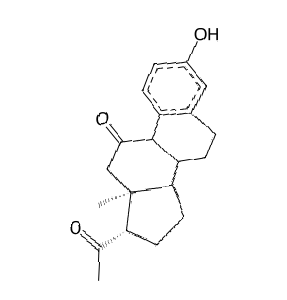 CC(=O)[C@H]1CCC2C3CCc4cc(O)ccc4C3C(=O)C[C@@]21C